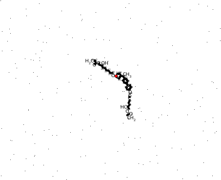 C=CC(=O)OCC(O)CCCCCCOc1ccc(-c2ccc(C(C)c3ccc(OCCCCCCC(O)COC(=O)C=C)cc3)cc2)cc1